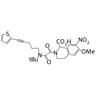 COc1cc2c(cc1[N+](=O)[O-])C(C(=O)O)N(C(=O)C(=O)N(CCCC#Cc1cccs1)C(C)(C)C)CC2